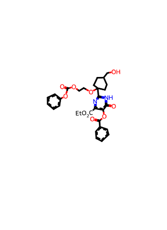 CCOC(=O)c1nc(C2(OCCOC(=O)Oc3ccccc3)CCC(CO)CC2)[nH]c(=O)c1OC(=O)c1ccccc1